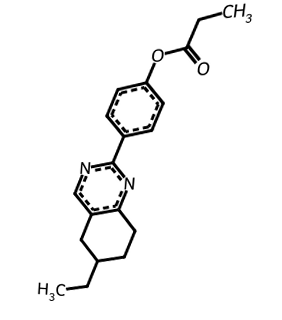 CCC(=O)Oc1ccc(-c2ncc3c(n2)CCC(CC)C3)cc1